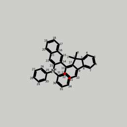 CC1(C)c2ccccc2-c2cccc(-c3cc4ccccc4cc3N(c3ccccc3)c3ccccc3)c21